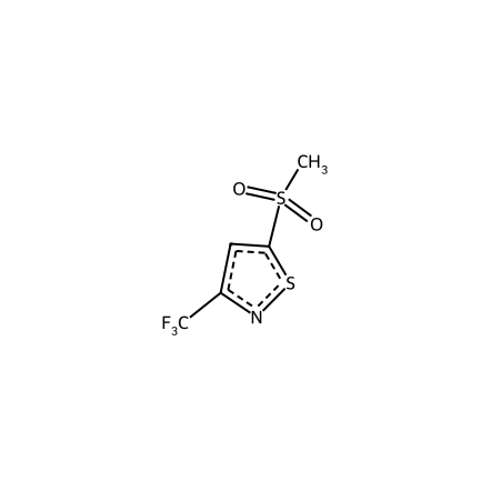 CS(=O)(=O)c1cc(C(F)(F)F)ns1